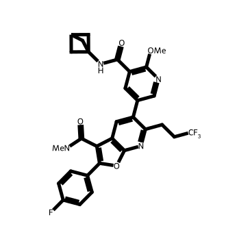 CNC(=O)c1c(-c2ccc(F)cc2)oc2nc(CCC(F)(F)F)c(-c3cnc(OC)c(C(=O)NC45CC(C4)C5)c3)cc12